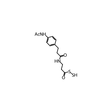 CC(=O)Nc1ccc(CCC(=O)NCCC(=O)SS)cc1